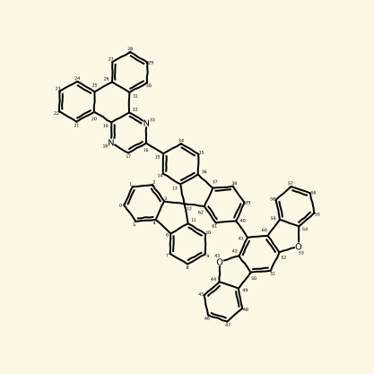 c1ccc2c(c1)-c1ccccc1C21c2cc(-c3cnc4c5ccccc5c5ccccc5c4n3)ccc2-c2ccc(-c3c4oc5ccccc5c4cc4oc5ccccc5c34)cc21